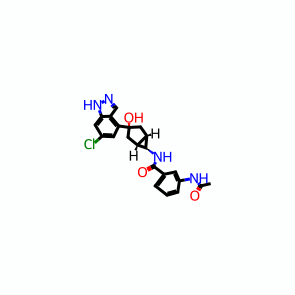 CC(=O)Nc1cccc(C(=O)N[C@H]2[C@@H]3C[C@](O)(c4cc(Cl)cc5[nH]ncc45)C[C@@H]32)c1